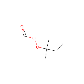 CCC(C)(C)OOC=O